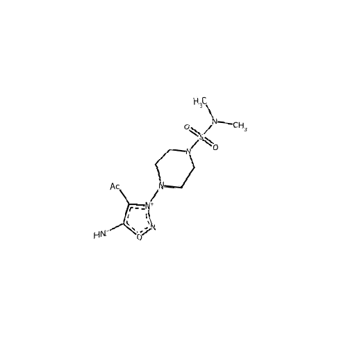 CC(=O)c1c([NH-])on[n+]1N1CCN(S(=O)(=O)N(C)C)CC1